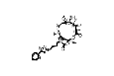 B[C@@H]1[C@@H](C)C(=O)[C@@H](C)C(=O)O[C@H](CC)[C@@]2(C)OC(=O)N(CCCCn3cc(-c4ccccn4)nn3)[C@@H]2[C@@H](C)NC[C@H](C)C[C@@]1(C)OC